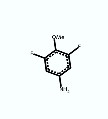 COc1c(F)cc(N)cc1F